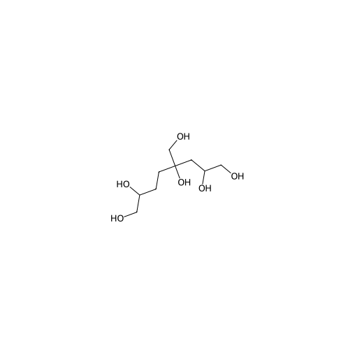 OCC(O)CCC(O)(CO)CC(O)CO